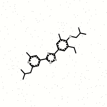 CCc1cc(-c2noc(-c3cc(C)nc(CC(C)C)c3)n2)cc(C)c1OCC(C)C